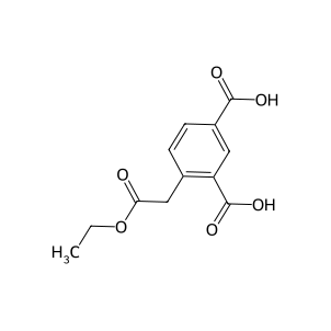 CCOC(=O)Cc1ccc(C(=O)O)cc1C(=O)O